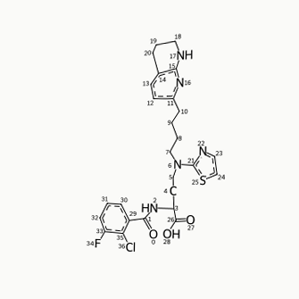 O=C(NC(CCN(CCCCc1ccc2c(n1)NCCC2)c1nccs1)C(=O)O)c1cccc(F)c1Cl